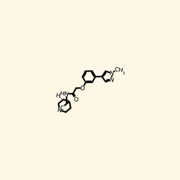 Cn1cc(-c2c[c]cc(OCC(=O)N[C@@H]3CN4CCC3CC4)c2)cn1